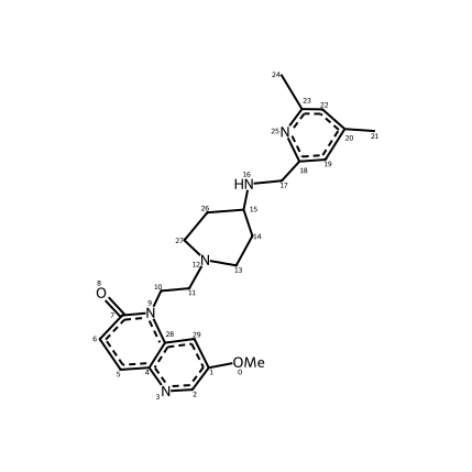 COc1cnc2ccc(=O)n(CCN3CCC(NCc4cc(C)cc(C)n4)CC3)c2c1